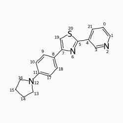 c1cncc(-c2nc(-c3ccc(N4CCCC4)cc3)cs2)c1